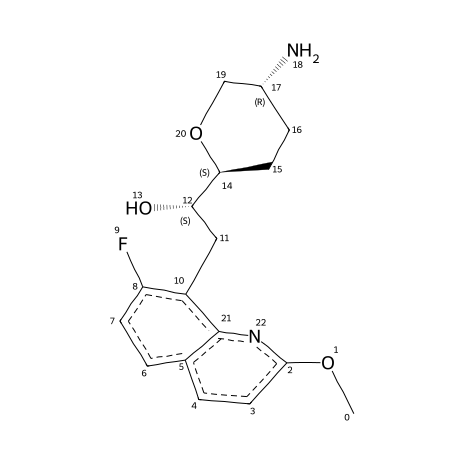 COc1ccc2ccc(F)c(C[C@H](O)[C@@H]3CC[C@@H](N)CO3)c2n1